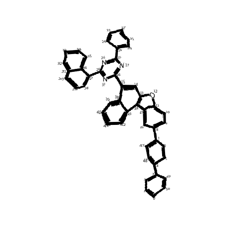 c1ccc(-c2ccc(-c3ccc4oc5cc(-c6nc(-c7ccccc7)nc(-c7cccc8ccccc78)n6)c6ccccc6c5c4c3)cc2)cc1